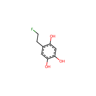 Oc1[c]c(CCF)c(O)cc1O